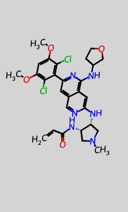 C=CC(=O)N[C@H]1CN(C)C[C@H]1Nc1cc2c(NC3CCOC3)nc(-c3c(Cl)c(OC)cc(OC)c3Cl)cc2cn1